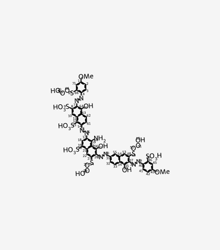 COc1ccc(N=Nc2c(S(=O)(=O)O)cc3c(S(=O)(=O)O)c(N=Nc4cc(S(=O)(=O)O)c5cc(SOOO)c(N=Nc6ccc7c(O)c(N=Nc8ccc(OC)cc8S(=O)(=O)O)c(SOOO)cc7c6)c(O)c5c4N)ccc3c2O)c(SOOO)c1